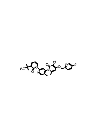 C/C(=C/C(OCc1ccc(F)cn1)=C(\C)Cl)N(C=O)c1cc(-n2cccc(C(C)(C)O)c2=O)ncc1C